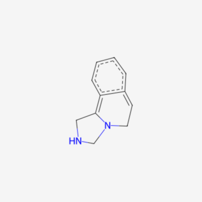 C1=c2ccccc2=C2CNCN2C1